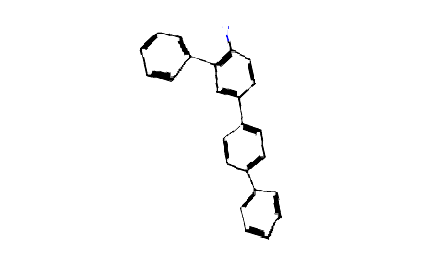 Nc1ccc(-c2ccc(-c3ccccc3)cc2)cc1-c1ccccc1